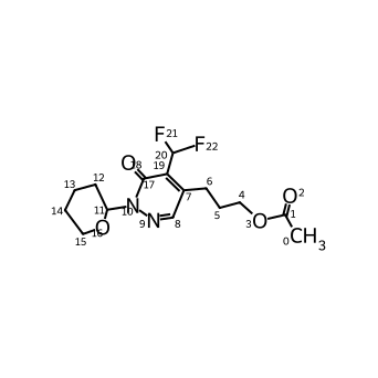 CC(=O)OCCCc1cnn(C2CCCCO2)c(=O)c1C(F)F